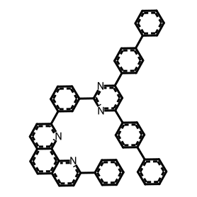 c1ccc(-c2ccc(-c3cc(-c4ccc(-c5ccccc5)cc4)nc(-c4cccc(-c5ccc6ccc7ccc(-c8ccccc8)nc7c6n5)c4)n3)cc2)cc1